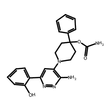 NC(=O)OC1(c2ccccc2)CCN(c2cc(-c3ccccc3O)nnc2N)CC1